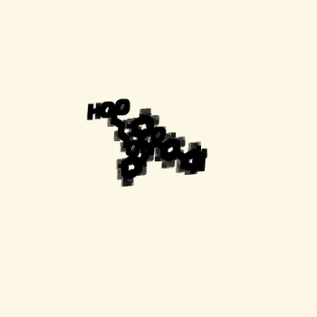 O=C(O)CCCCCOc1ccccc1CN(Cc1ccccc1)C(=O)c1ccc(-c2ccncc2)cc1